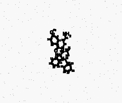 COc1ccc(C(=O)N(CCCN)[C@@H](c2nc3ccccc3n2Cc2ccccc2)C(C)C)cc1